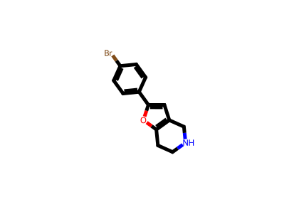 Brc1ccc(-c2cc3c(o2)CCNC3)cc1